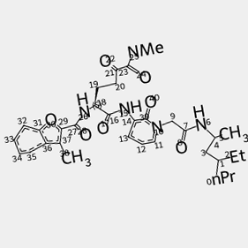 CCCC(CC)CC(C)NC(=O)Cn1cccc(NC(=O)[C@H](CCC(=O)C(=O)NC)NC(=O)c2oc3ccccc3c2C)c1=O